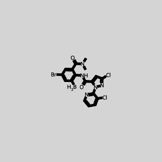 Bc1cc(Br)cc(C(=O)N(C)C)c1NC(=O)c1cc(Cl)nn1-c1ncccc1Cl